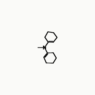 CN(C1=CCCCC1)C1=CCCCC1